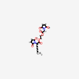 C=C=C=C=C(C(=O)OCCOC(=O)CN1C(=O)C=CC1=O)N1C(=O)C=CC1=O